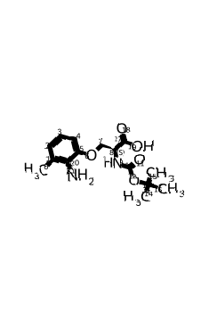 Cc1cccc(OC[C@H](NC(=O)OC(C)(C)C)C(=O)O)c1N